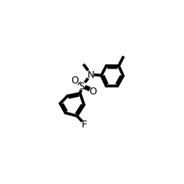 Cc1cccc(N(C)S(=O)(=O)c2cccc(F)c2)c1